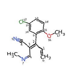 C=C/C(=C(C#N)\C=N/C)c1cc(Cl)ccc1OC